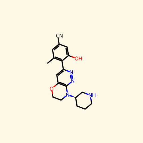 Cc1cc(C#N)cc(O)c1-c1cc2c(nn1)N([C@@H]1CCCNC1)CCO2